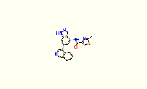 Cc1nc(C(=O)Nc2cc(-c3cncc4ccccc34)cc3[nH]ncc23)cs1